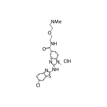 CNCCOCCNC(=O)c1ccc2c(c1)nc(Nc1nc3ccc(Cl)cc3s1)n2C.Cl